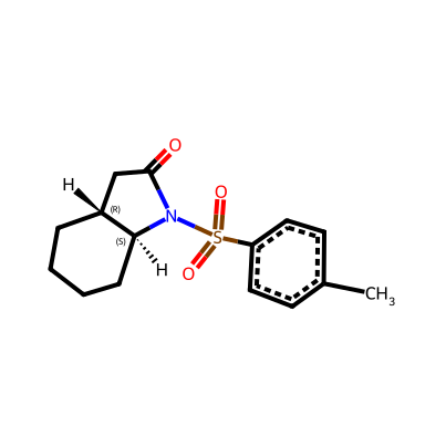 Cc1ccc(S(=O)(=O)N2C(=O)C[C@H]3CCCC[C@@H]32)cc1